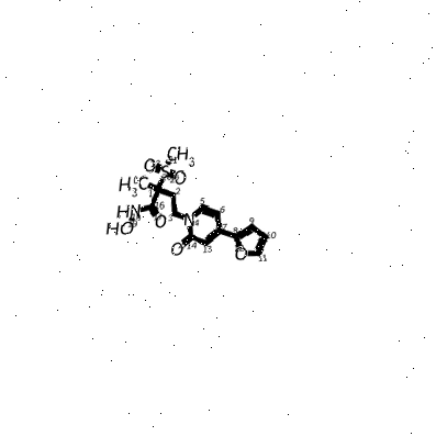 CC(CCn1ccc(-c2ccco2)cc1=O)(C(=O)NO)S(C)(=O)=O